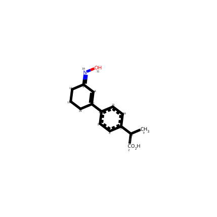 CC(C(=O)O)c1ccc(C2=CC(=NO)CCC2)cc1